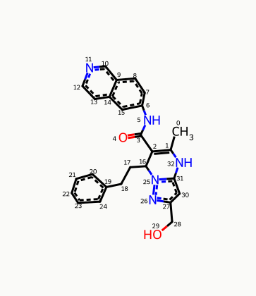 CC1=C(C(=O)Nc2ccc3cnccc3c2)C(CCc2ccccc2)n2nc(CO)cc2N1